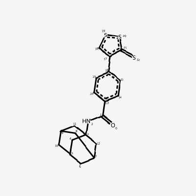 O=C(NC12CC3CC(CC(C3)C1)C2)c1ccc(-c2cssc2=S)cc1